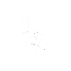 C[C@@H]1CCC[C@H](NC(=O)[C@@H](S)Cc2ccccc2)C(=O)N1CC(=O)O